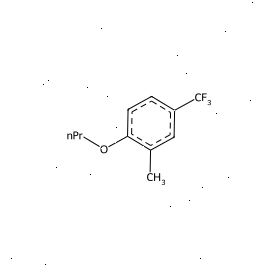 CCCOc1ccc(C(F)(F)F)cc1C